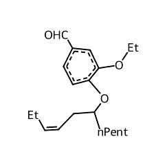 CC/C=C\CC(CCCCC)Oc1ccc(C=O)cc1OCC